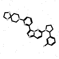 Fc1cccc(C2CCCN2c2ccc3ncc(-c4cccc(N5CCC6(CC5)OCCO6)n4)n3n2)c1